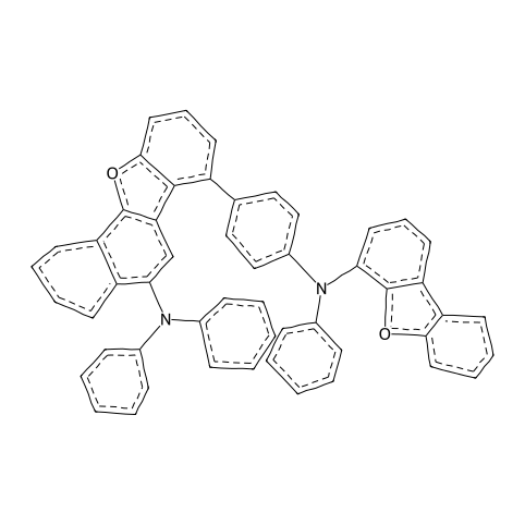 c1ccc(N(c2ccccc2)c2cc3c(oc4cccc(-c5ccc(N(c6ccccc6)c6cccc7c6oc6ccccc67)cc5)c43)c3ccccc23)cc1